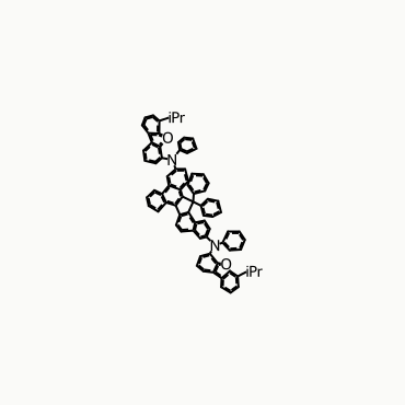 CC(C)c1cccc2c1oc1c(N(c3ccccc3)c3ccc4c5c(ccc4c3)-c3c(c4ccc(N(c6ccccc6)c6cccc7c6oc6c(C(C)C)cccc67)cc4c4ccccc34)C5(c3ccccc3)c3ccccc3)cccc12